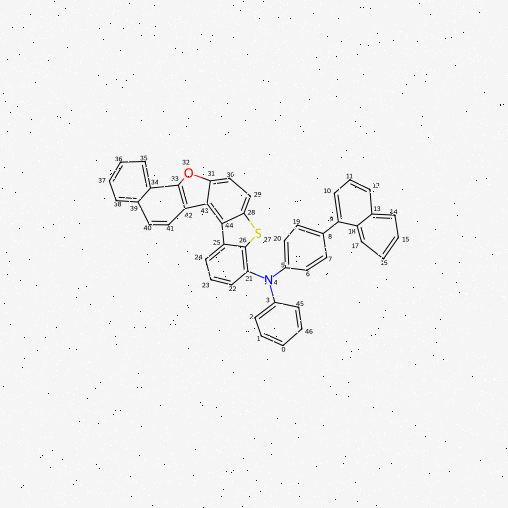 c1ccc(N(c2ccc(-c3cccc4ccccc34)cc2)c2cccc3c2sc2ccc4oc5c6ccccc6ccc5c4c23)cc1